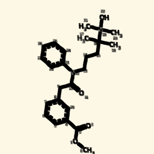 COC(=O)c1cccc(CC(=O)N(CCCC(C)(C)[Si](C)(C)O)c2ccccc2)c1